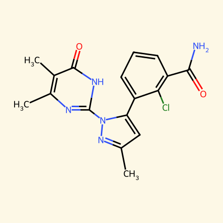 Cc1cc(-c2cccc(C(N)=O)c2Cl)n(-c2nc(C)c(C)c(=O)[nH]2)n1